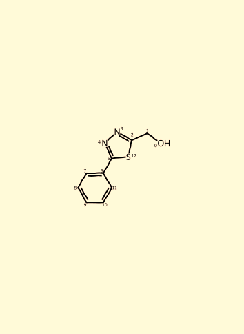 OCc1nnc(-c2ccccc2)s1